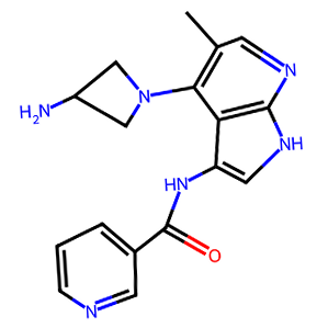 Cc1cnc2[nH]cc(NC(=O)c3cccnc3)c2c1N1CC(N)C1